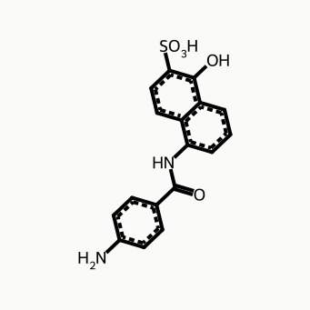 Nc1ccc(C(=O)Nc2cccc3c(O)c(S(=O)(=O)O)ccc23)cc1